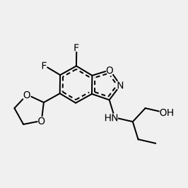 CCC(CO)Nc1noc2c(F)c(F)c(C3OCCO3)cc12